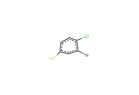 Sc1ccc(Cl)c(Br)c1